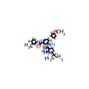 COc1ccc(Sc2ccc(C(=O)Nc3ccc(F)c(C)c3)cc2Nc2ncnc3nc(C(C)C)ccc23)cc1